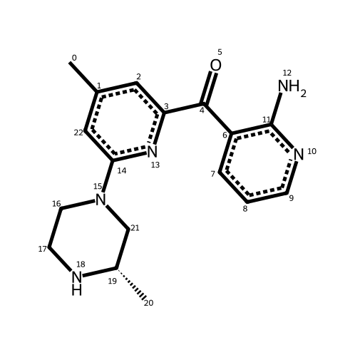 Cc1cc(C(=O)c2cccnc2N)nc(N2CCN[C@@H](C)C2)c1